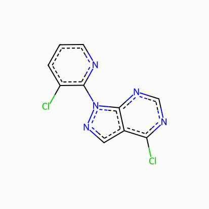 Clc1cccnc1-n1ncc2c(Cl)ncnc21